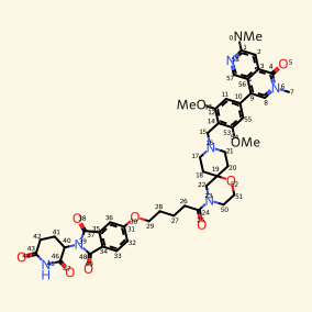 CNc1cc2c(=O)n(C)cc(-c3cc(OC)c(CN4CCC5(CC4)CN(C(=O)CCCCOc4ccc6c(c4)C(=O)N(C4CCC(=O)NC4=O)C6=O)CCO5)c(OC)c3)c2cn1